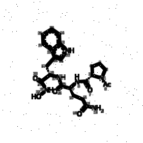 CC(=O)N1CCC[C@H]1C(=O)N[C@@H](CCC(N)=O)C(=O)N[C@@H](Cc1c[nH]c2ccccc12)C(=O)NO